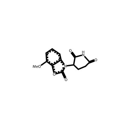 COc1cccc2c1oc(=O)n2C1CCC(=O)NC1=O